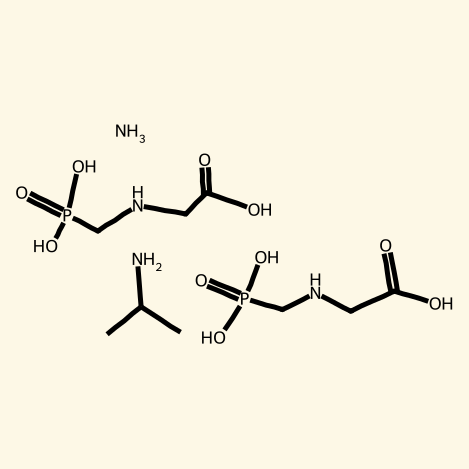 CC(C)N.N.O=C(O)CNCP(=O)(O)O.O=C(O)CNCP(=O)(O)O